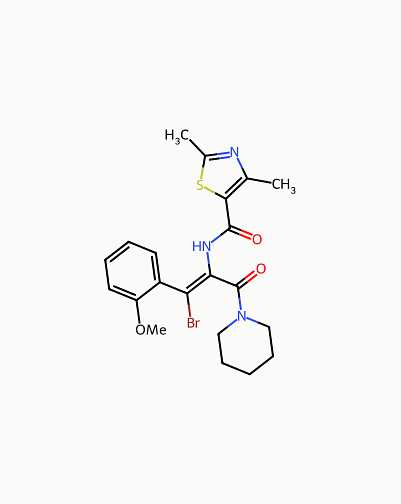 COc1ccccc1C(Br)=C(NC(=O)c1sc(C)nc1C)C(=O)N1CCCCC1